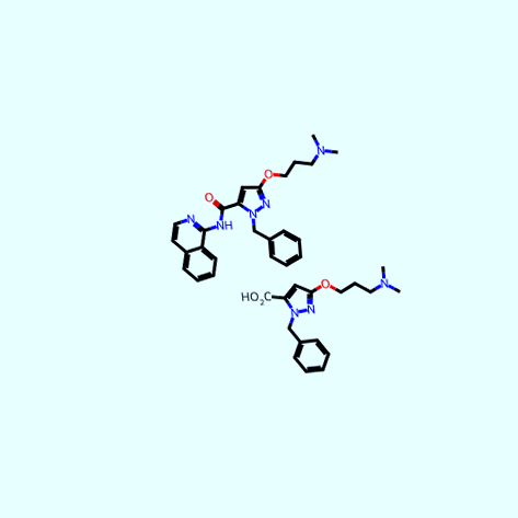 CN(C)CCCOc1cc(C(=O)Nc2nccc3ccccc23)n(Cc2ccccc2)n1.CN(C)CCCOc1cc(C(=O)O)n(Cc2ccccc2)n1